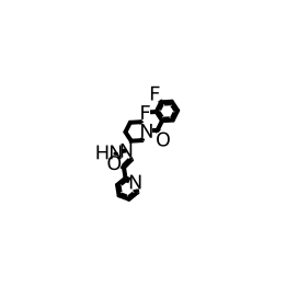 O=C(c1cccc(F)c1F)N1CCC[C@H](N2C=C(c3ccccn3)ON2)C1